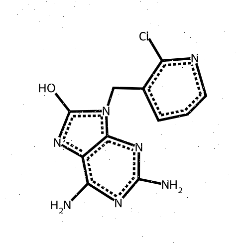 Nc1nc(N)c2nc(O)n(Cc3cccnc3Cl)c2n1